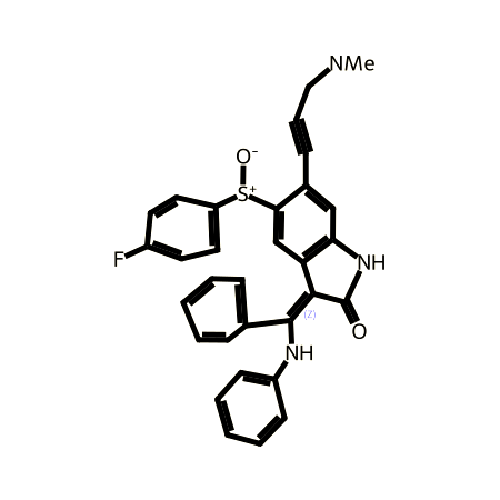 CNCC#Cc1cc2c(cc1[S+]([O-])c1ccc(F)cc1)/C(=C(/Nc1ccccc1)c1ccccc1)C(=O)N2